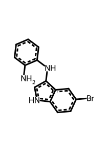 Nc1ccccc1Nc1c[nH]c2ccc(Br)cc12